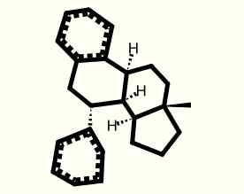 C[C@@]12CCC[C@H]1[C@@H]1[C@H](CC2)c2ccccc2C[C@H]1c1ccccc1